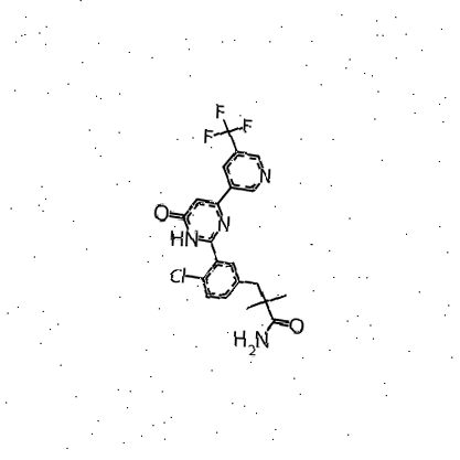 CC(C)(Cc1ccc(Cl)c(-c2nc(-c3cncc(C(F)(F)F)c3)cc(=O)[nH]2)c1)C(N)=O